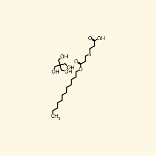 CCCCCCCCCCCCOC(=O)CCSCCC(=O)O.OCC(CO)(CO)CO